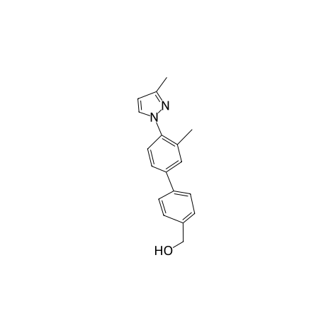 Cc1ccn(-c2ccc(-c3ccc(CO)cc3)cc2C)n1